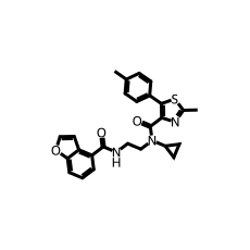 Cc1ccc(-c2sc(C)nc2C(=O)N(CCNC(=O)c2cccc3occc23)C2CC2)cc1